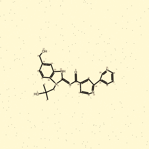 CC(C)(O)Cn1/c(=N/C(=O)c2ccnc(-c3cccnc3)c2)[nH]c2cc(CO)ccc21